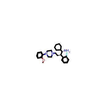 COc1ccccc1N1CCN(CC[C@H](c2ccccc2F)[C@@H](N)C2CCCCC2)CC1